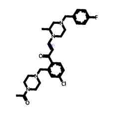 CC(=O)N1CCN(Cc2cc(Cl)ccc2C(=O)/C=C/N2CCN(Cc3ccc(F)cc3)CC2C)CC1